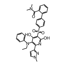 CCN(c1ccccc1)c1c(-c2ccn(C)n2)nc(O)c(S(=O)(=O)c2ccc(-c3ccccc3C(=O)N(C)C)cc2)c1O